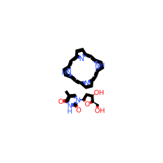 C1=Cc2cc3ccc(cc4nc(cc5ccc(cc1n2)[nH]5)C=C4)[nH]3.Cc1cn([C@H]2C[C@H](O)[C@@H](CO)O2)c(=O)[nH]c1=O